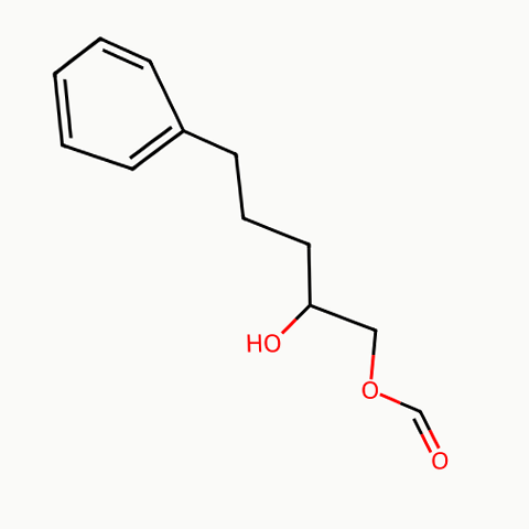 O=COCC(O)CCCc1ccccc1